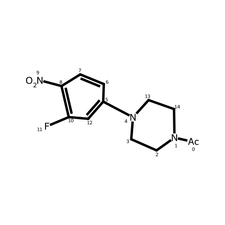 CC(=O)N1CCN(c2ccc([N+](=O)[O-])c(F)c2)CC1